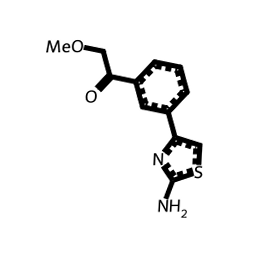 COCC(=O)c1cccc(-c2csc(N)n2)c1